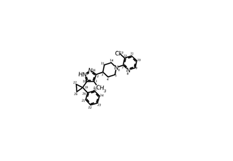 Cc1c(C2CCN(c3ncccc3Cl)CC2)n[nH]c1C1(c2ccccc2)CC1